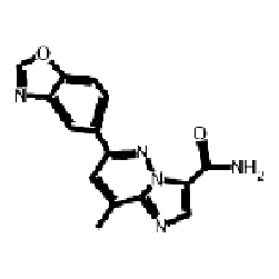 Cc1cc(-c2ccc3ocnc3c2)nn2c(C(N)=O)cnc12